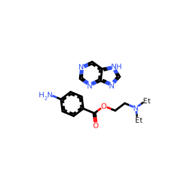 CCN(CC)CCOC(=O)c1ccc(N)cc1.c1ncc2[nH]cnc2n1